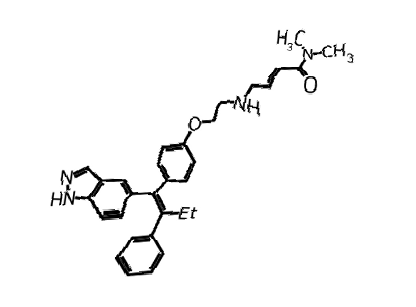 CCC(=C(c1ccc(OCCNCC=CC(=O)N(C)C)cc1)c1ccc2[nH]ncc2c1)c1ccccc1